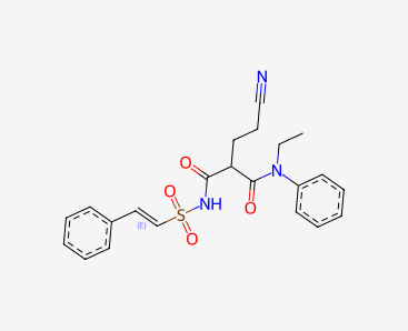 CCN(C(=O)C(CCC#N)C(=O)NS(=O)(=O)/C=C/c1ccccc1)c1ccccc1